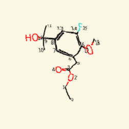 CCOC(=O)Cc1cc(C(C)(C)O)cc(F)c1OC